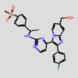 CC(Nc1nccc(-c2c(-c3ccc(F)cc3)nc3cc(CO)ccn23)n1)c1ccc(S(C)(=O)=O)cc1